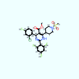 COC(=O)C1=C(C2CCN(S(C)(=O)=O)CC2)NC(c2c(F)cc(F)cc2F)=NC1c1ccc(F)cc1Cl